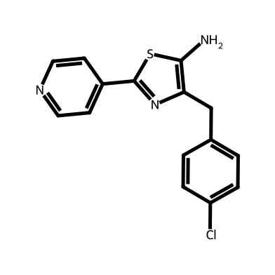 Nc1sc(-c2ccncc2)nc1Cc1ccc(Cl)cc1